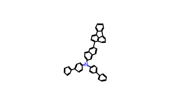 c1ccc(-c2ccc(N(c3ccc(-c4ccccc4)cc3)c3ccc4cc(-c5ccc6c7c(cccc57)-c5ccccc5-6)ccc4c3)cc2)cc1